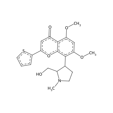 COc1cc(OC)c2c(=O)cc(-c3cccs3)oc2c1C1CCN(C)C1CO